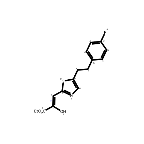 CCOC(=O)/C(O)=C/c1ncc(CCc2ccc(F)cc2)s1